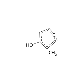 Oc1ccccc1.[CH2]